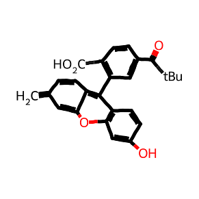 C=c1ccc2c(c1)Oc1cc(O)ccc1C=2c1cc(C(=O)C(C)(C)C)ccc1C(=O)O